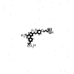 CC1=CC(OCCCP(=O)(O)O)CC=C1CCc1cnc2c(N)nc3cc(CCC(=O)O)ccc3c2c1